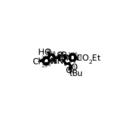 CCOC(=O)N1CCN(C(=O)C(CCC(=O)OC(C)(C)C)NC(=O)c2cc(O)c3cc(Cl)ccc3n2)CC1